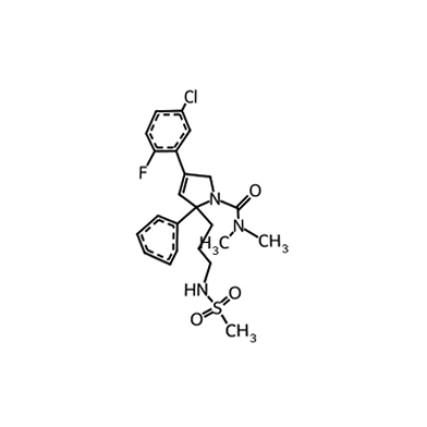 CN(C)C(=O)N1CC(c2cc(Cl)ccc2F)=CC1(CCCNS(C)(=O)=O)c1ccccc1